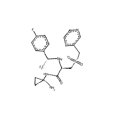 NC1(NC(=O)[C@H](CS(=O)(=O)Cc2cnccn2)N[C@@H](c2ccc(F)cc2)C(F)(F)F)CC1